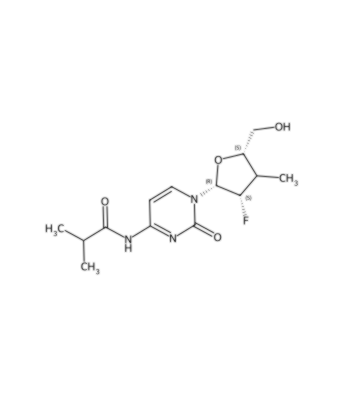 CC(C)C(=O)Nc1ccn([C@@H]2O[C@H](CO)C(C)[C@@H]2F)c(=O)n1